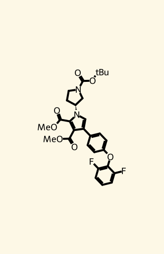 COC(=O)c1c(-c2ccc(Oc3c(F)cccc3F)cc2)cn([C@@H]2CCN(C(=O)OC(C)(C)C)C2)c1C(=O)OC